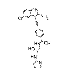 Nc1ncc2ccc(Cl)cc2c1C#Cc1ccc(C(O)NCC(O)CNc2ccccn2)cc1